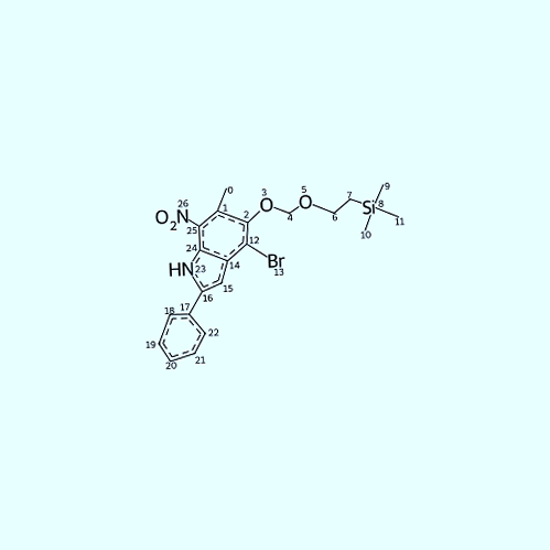 Cc1c(OCOCC[Si](C)(C)C)c(Br)c2cc(-c3ccccc3)[nH]c2c1[N+](=O)[O-]